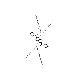 CCCCCCCCCCCCC(CCCCCCCCCC)CN1C(=O)C(c2ccc(C)cc2)=c2ccc3c4c(ccc3c21)=C(c1ccc(C)cc1)C(=O)N4CC(CCCCCCCCCC)CCCCCCCCCCCC